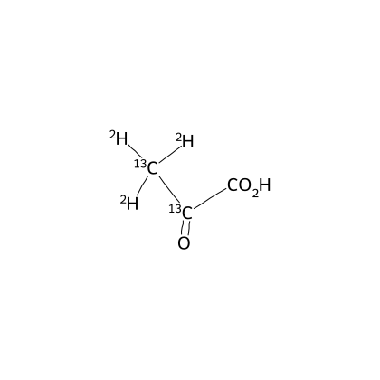 [2H][13C]([2H])([2H])[13C](=O)[13C](=O)O